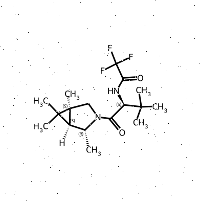 C[C@@H]1[C@H]2C(C)(C)[C@@]2(C)CN1C(=O)[C@@H](NC(=O)C(F)(F)F)C(C)(C)C